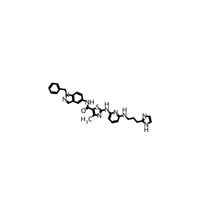 Cc1nc(Nc2cccc(NCCCc3ncc[nH]3)n2)sc1C(=O)Nc1ccc2c(cnn2Cc2ccccc2)c1